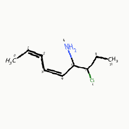 C/C=C\C=C/C(N)C(Cl)CC